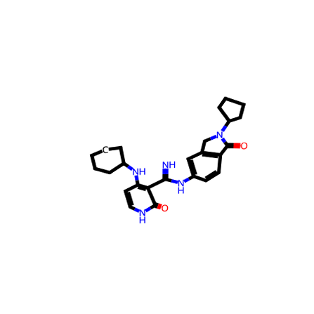 N=C(Nc1ccc2c(c1)CN(C1CCCC1)C2=O)c1c(NC2CCCCC2)cc[nH]c1=O